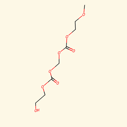 COCCOC(=O)OCOC(=O)OCCO